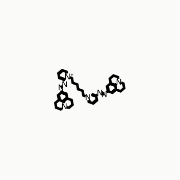 c1cc[n+](CCCCCC[n+]2cccc(N=Nc3cc4c5c(c3)CCCN5CCC4)c2)c(N=Nc2cc3c4c(c2)CCCN4CCC3)c1